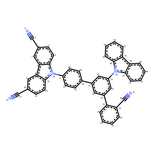 N#Cc1ccc2c(c1)c1cc(C#N)ccc1n2-c1ccc(-c2cc(-c3ccccc3C#N)cc(-n3c4ccccc4c4ccccc43)c2)cc1